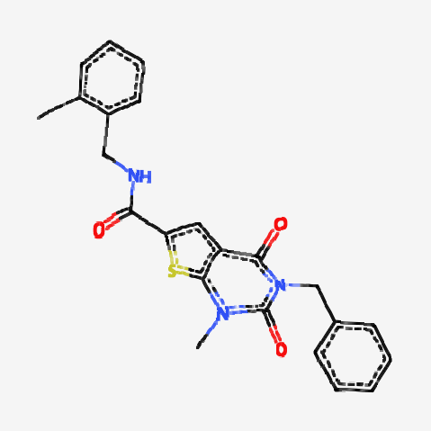 Cc1ccccc1CNC(=O)c1cc2c(=O)n(Cc3ccccc3)c(=O)n(C)c2s1